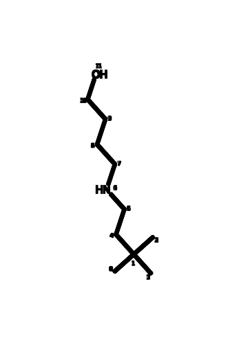 CC(C)(C)CCNCCCCO